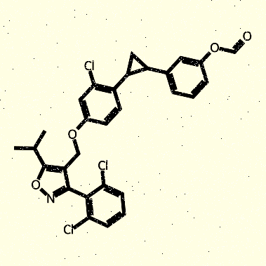 CC(C)c1onc(-c2c(Cl)cccc2Cl)c1COc1ccc(C2CC2c2cccc(OC=O)c2)c(Cl)c1